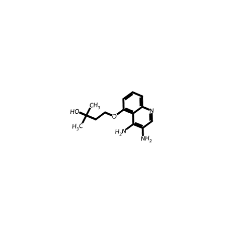 CC(C)(O)CCOc1cccc2ncc(N)c(N)c12